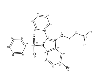 CN(C)CCOc1c(-c2ccccc2)n(S(=O)(=O)c2ccccc2)c2ccc(Br)cc12